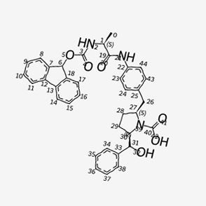 C[C@H](NC(=O)OC1c2ccccc2-c2ccccc21)C(=O)Nc1ccc(C[C@@H]2CC[C@H](C(O)c3ccccc3)N2C(=O)O)cc1